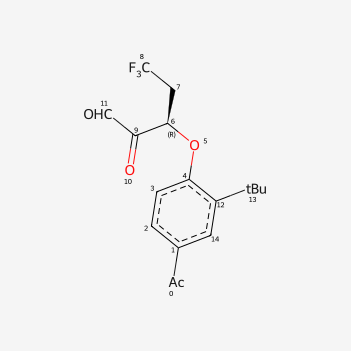 CC(=O)c1ccc(O[C@H](CC(F)(F)F)C(=O)C=O)c(C(C)(C)C)c1